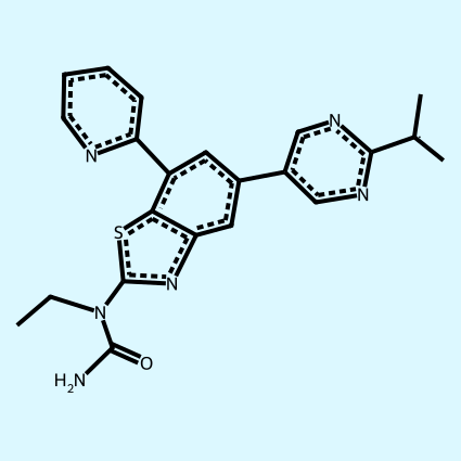 CCN(C(N)=O)c1nc2cc(-c3cnc([C](C)C)nc3)cc(-c3ccccn3)c2s1